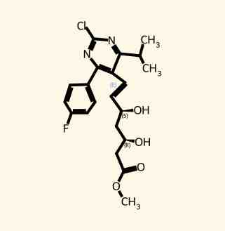 COC(=O)C[C@H](O)C[C@H](O)/C=C/c1c(-c2ccc(F)cc2)nc(Cl)nc1C(C)C